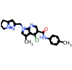 Cc1ccc(NC(=O)c2cnc3c(c(C)cn3Cc3cc4n(n3)CCC4)c2Cl)cc1